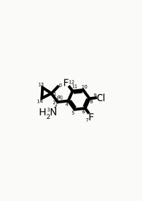 CC1([C@@H](N)c2cc(F)c(Cl)cc2F)CC1